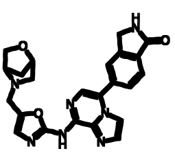 O=C1NCc2cc(-c3cnc(Nc4ncc(CN5CC6CC5CO6)o4)c4nccn34)ccc21